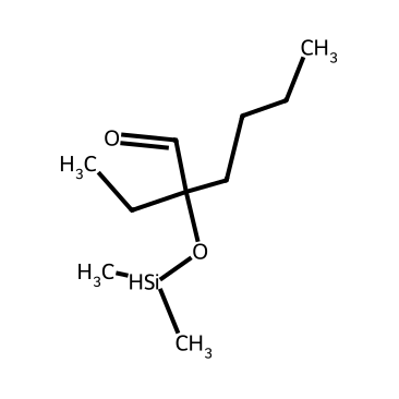 CCCCC(C=O)(CC)O[SiH](C)C